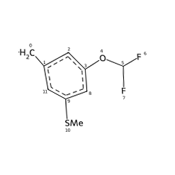 [CH2]c1cc(OC(F)F)cc(SC)c1